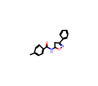 Cc1ccc(C(=O)NC2CC(c3ccccc3)=NO2)cc1